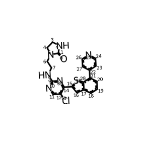 O=C1NCCN1CCNc1ncc(Cl)c(-c2cc3cccc(-c4ccncc4)c3s2)n1